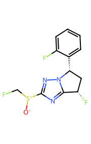 [O-][S+](CF)c1nc2n(n1)[C@H](c1ccccc1F)C[C@@H]2F